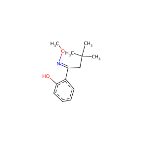 CON=C(CC(C)(C)C)c1ccccc1O